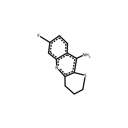 Nc1c2c(nc3cc(F)ccc13)CCCS2